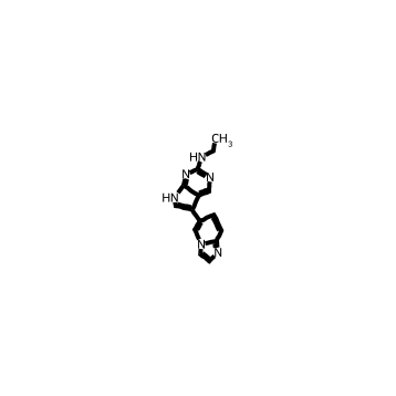 CCNc1ncc2c(-c3ccc4nccn4c3)c[nH]c2n1